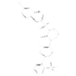 CS(=O)(=O)c1ccccc1-c1ccc(N2CCC[C](S(=O)(=O)c3ccc4cc(Cl)ccc4c3)C2=O)c(F)c1